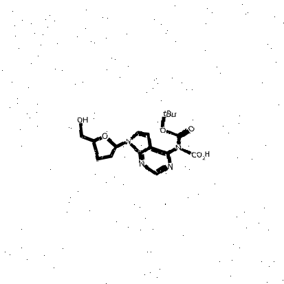 CC(C)(C)OC(=O)N(C(=O)O)c1ncnc2c1ccn2C1CCC(CO)O1